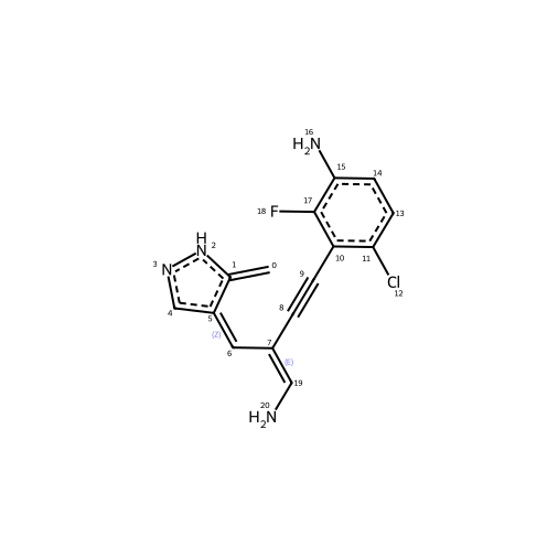 C=c1[nH]nc/c1=C/C(C#Cc1c(Cl)ccc(N)c1F)=C\N